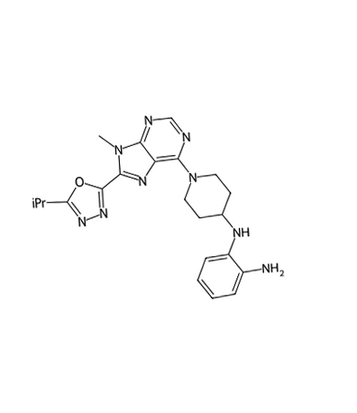 CC(C)c1nnc(-c2nc3c(N4CCC(Nc5ccccc5N)CC4)ncnc3n2C)o1